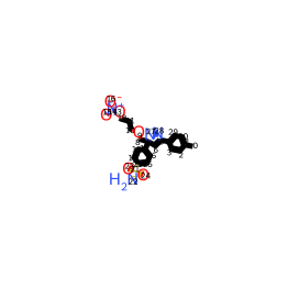 Cc1ccc(C2=CC(COCCCO[N+](=O)[O-])(c3ccc(S(N)(=O)=O)cc3)N=N2)cc1